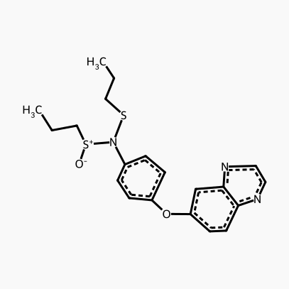 CCCSN(c1ccc(Oc2ccc3nccnc3c2)cc1)[S+]([O-])CCC